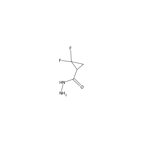 NNC(=O)C1CC1(F)F